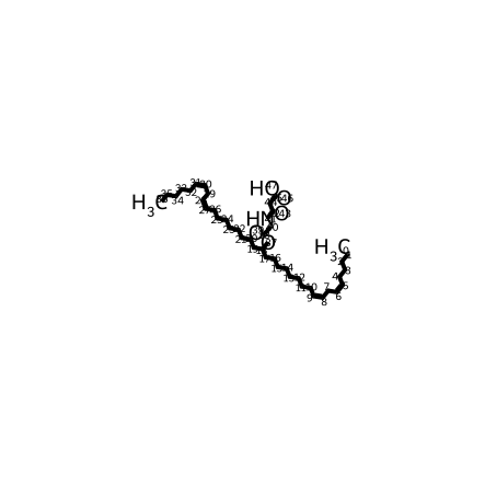 CCCCC/C=C\C/C=C\CCCCCCCCC(CCCCCCCC/C=C\C/C=C\CCCCC)OC(=O)CNC(=O)CC(=O)O